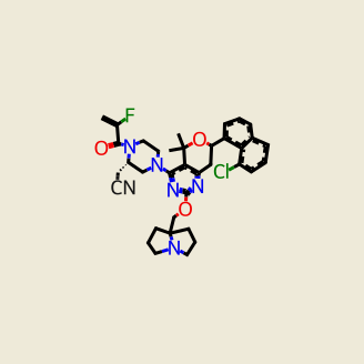 C=C(F)C(=O)N1CCN(c2nc(OCC34CCCN3CCC4)nc3c2C(C)(C)OC(c2cccc4cccc(Cl)c24)C3)C[C@@H]1CC#N